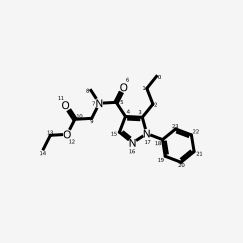 CCCc1c(C(=O)N(C)CC(=O)OCC)cnn1-c1ccccc1